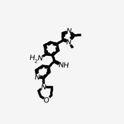 Cc1ncc(-c2ccc(N)c(C(=N)c3ccnc(N4CCOCC4)c3)c2)n1C